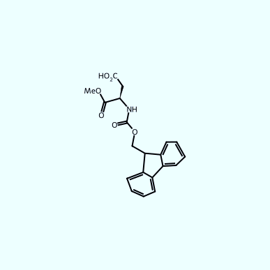 COC(=O)[C@@H](CC(=O)O)NC(=O)OCC1c2ccccc2-c2ccccc21